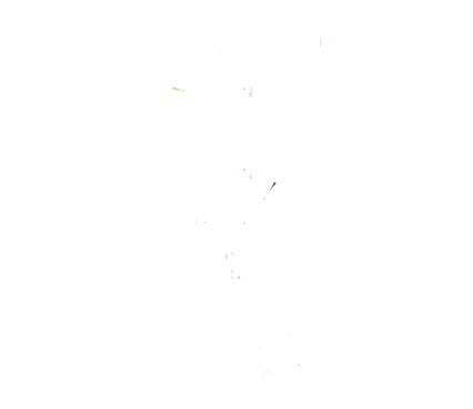 O=C1[C@H](F)C[C@@H](C(=O)N2CCC3(S(=O)(=O)c4ccc(F)cc4)c4ncc(C(F)(C(F)(F)F)C(F)(F)F)cc4CC[C@@H]23)N1CCO